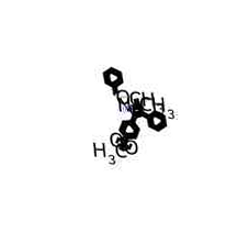 CC1(C)C(c2ccccc2)=C(c2ccc(S(C)(=O)=O)cc2)/C1=N/OCc1ccccc1